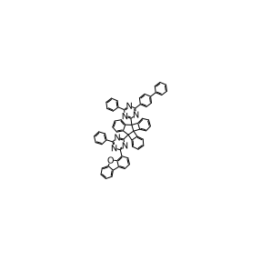 c1ccc(-c2ccc(-c3nc(-c4ccccc4)nc(C45c6ccccc6C6(c7nc(-c8ccccc8)nc(-c8cccc9c8oc8ccccc89)n7)c7ccccc7C46c4ccccc45)n3)cc2)cc1